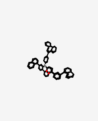 c1ccc(-c2ccc(-c3cccc4ccccc34)cc2N(c2ccc(-c3cccc(-c4cccc5ccccc45)c3)cc2)c2ccc(-c3cc4ccccc4c4ccccc34)cc2)cc1